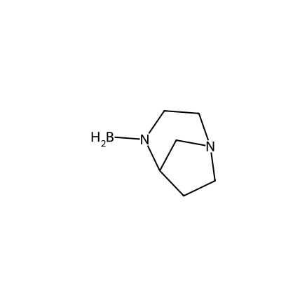 BN1CCN2CCC1C2